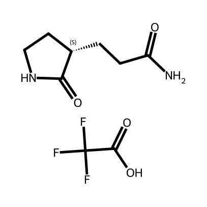 NC(=O)CC[C@H]1CCNC1=O.O=C(O)C(F)(F)F